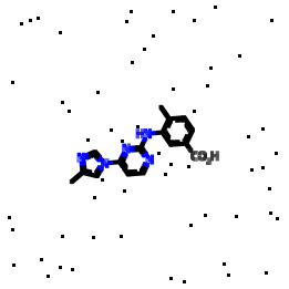 Cc1cn(-c2ccnc(Nc3cc(C(=O)O)ccc3C)n2)cn1